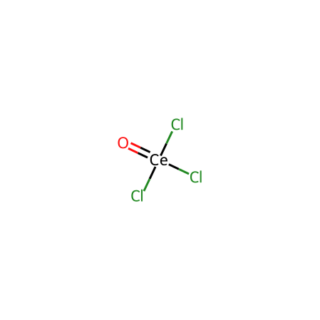 [O]=[Ce]([Cl])([Cl])[Cl]